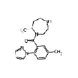 Cc1ccc(-n2cccn2)c(C(=O)N2CCNCC[C@H]2C)c1